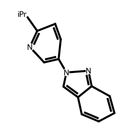 CC(C)c1ccc(-n2cc3ccccc3n2)cn1